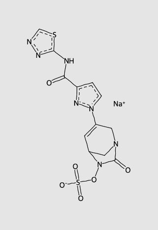 O=C(Nc1nncs1)c1ccn(C2=CC3CN(C2)C(=O)N3OS(=O)(=O)[O-])n1.[Na+]